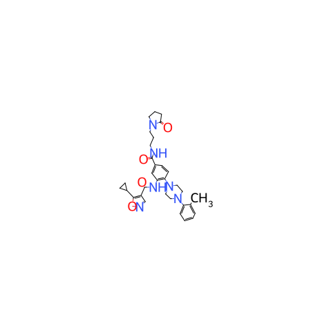 Cc1ccccc1N1CCN(c2ccc(C(=O)NCCCN3CCCC3=O)cc2NC(=O)c2cnoc2C2CC2)CC1